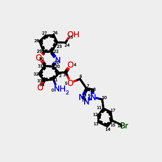 Nc1c(C(=O)OCc2cn(Cc3cccc(Br)c3)nn2)c2nc3c(CO)cccc3oc-2cc1=O